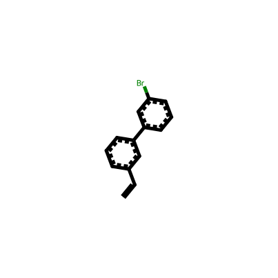 C=Cc1cccc(-c2cccc(Br)c2)c1